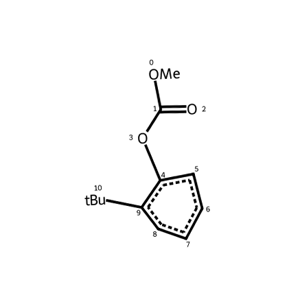 COC(=O)Oc1ccccc1C(C)(C)C